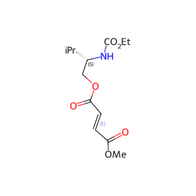 CCOC(=O)N[C@H](COC(=O)/C=C/C(=O)OC)C(C)C